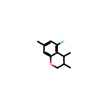 Cc1cc(F)c2c(c1)OCC(C)C2C